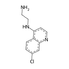 NCCNc1ccnc2cc(Cl)ccc12